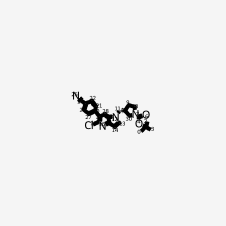 CC(C)(C)OC(=O)N1CC[C@@H](Cn2ccc3nc(Cl)c(-c4ccc(C#N)cc4)cc32)C1